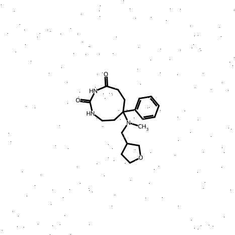 CN(CC1CCOC1)C1(c2ccccc2)CCNC(=O)NC(=O)CC1